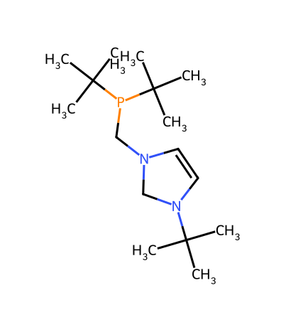 CC(C)(C)N1C=CN(CP(C(C)(C)C)C(C)(C)C)C1